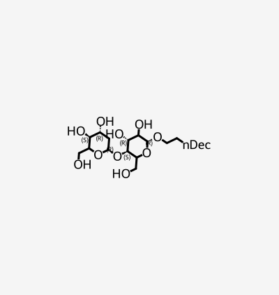 CCCCCCCCCCCCO[C@@H]1OC(CO)[C@@H](O[C@@H]2C[C@@H](O)[C@H](O)C(CO)O2)[C@H](O)C1O